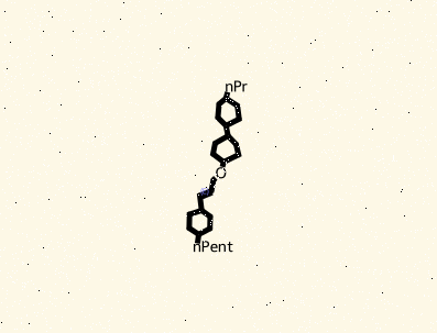 CCCCCC1CCC(/C=C/COC2CCC(C3CCC(CCC)CC3)CC2)CC1